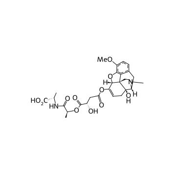 COc1ccc2c3c1O[C@H]1C(OC(=O)C[C@H](O)C(=O)O[C@@H](C)C(=O)N[C@@H](C)C(=O)O)=CC[C@@]4(O)[C@@H](C2)N(C)CC[C@]314